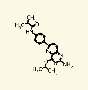 CC(C)Oc1nc(N)nc2ccc(-c3ccc(NC(=O)C(C)C)cc3)nc12